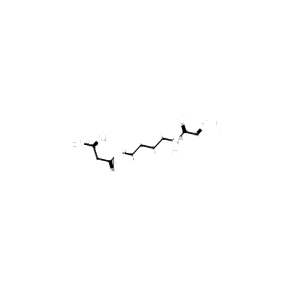 C=CC(=O)NCCCCOC(=O)CC(=O)CC